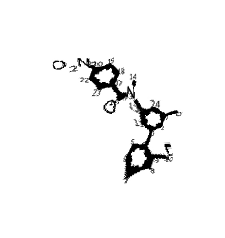 Cc1cc(-c2ccccc2F)cc(N(C)C(=O)c2ccc([N+](=O)[O-])cc2)c1